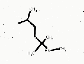 CNC(C)(C)CCC(C)I